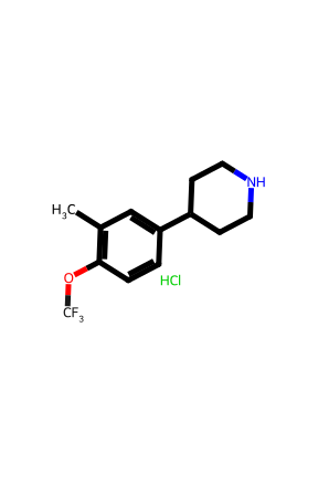 Cc1cc(C2CCNCC2)ccc1OC(F)(F)F.Cl